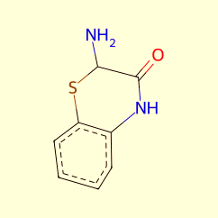 NC1Sc2ccccc2NC1=O